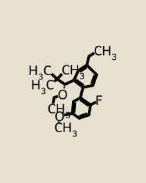 CCO[C@@H](c1cc(CC)ccc1-c1cc(OC)ccc1F)C(C)(C)C